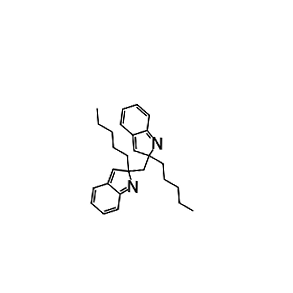 CCCCCC1(CC2(CCCCC)C=c3ccccc3=N2)C=c2ccccc2=N1